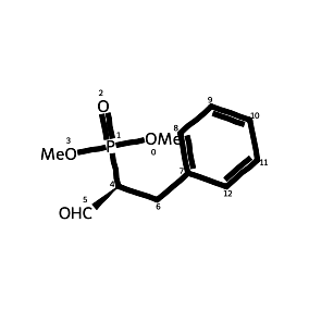 COP(=O)(OC)[C@H](C=O)Cc1ccccc1